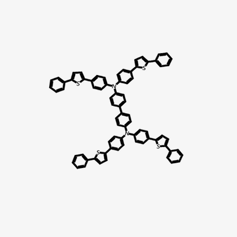 c1ccc(-c2ccc(-c3ccc(N(c4ccc(-c5ccc(N(c6ccc(-c7ccc(-c8ccccc8)s7)cc6)c6ccc(-c7ccc(-c8ccccc8)s7)cc6)cc5)cc4)c4ccc(-c5ccc(-c6ccccc6)s5)cc4)cc3)s2)cc1